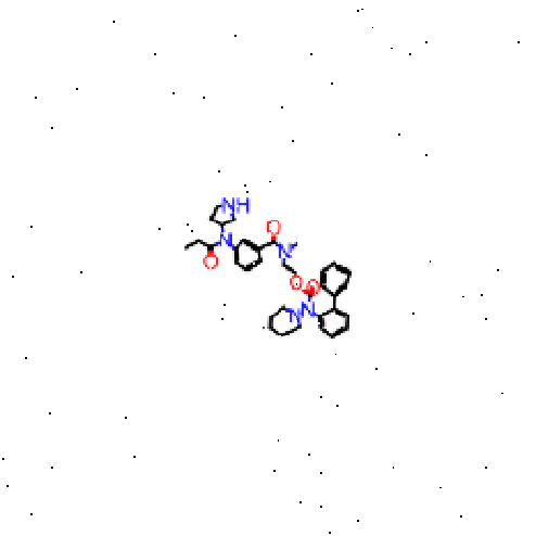 CCC(=O)N(c1cccc(C(=O)N(C)CCOC(=O)N(c2ccccc2-c2ccccc2)N2CC[CH]CC2)c1)C1CCNC1